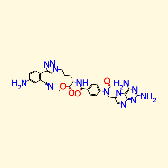 COC(=O)[C@H](CCCn1cc(-c2ccc(N)cc2C#N)nn1)NC(=O)c1ccc(N(C=O)Cc2cnc3nc(N)nc(N)c3n2)cc1